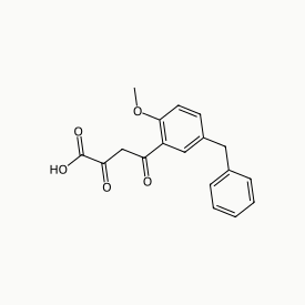 COc1ccc(Cc2ccccc2)cc1C(=O)CC(=O)C(=O)O